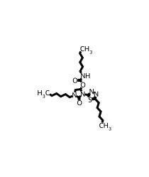 CCCCCCNC(=O)OC1CN(CCCCCC)C(=O)N1c1nnc(CCCCCC)s1